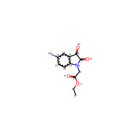 CCOC(=O)CN1C(=O)C(=O)c2cc(I)ccc21